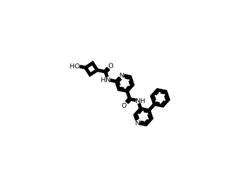 O=C(Nc1cnccc1-c1ccccc1)c1ccnc(NC(=O)C2CC(O)C2)c1